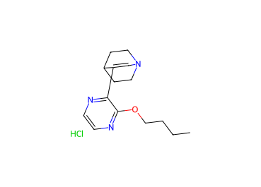 CCCCOc1nccnc1C1=CN2CCC1CC2.Cl